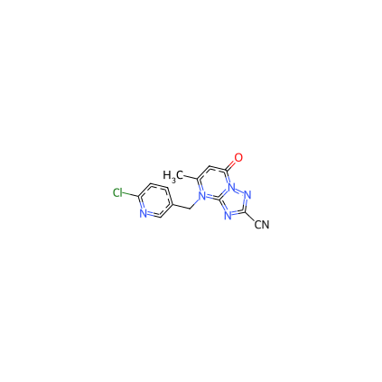 Cc1cc(=O)n2nc(C#N)nc2n1Cc1ccc(Cl)nc1